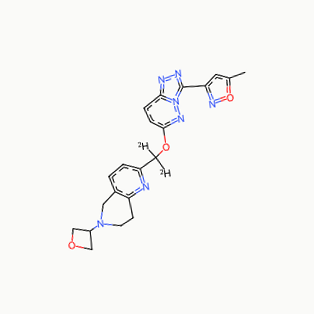 [2H]C([2H])(Oc1ccc2nnc(-c3cc(C)on3)n2n1)c1ccc2c(n1)CCN(C1COC1)C2